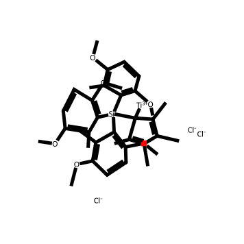 COc1ccc(OC)c([Si](c2c(OC)ccc(OC)c2C)(c2c(OC)ccc(OC)c2C)[C]2([Ti+3])C(C)=C(C)C(C)=C2C)c1C.[Cl-].[Cl-].[Cl-]